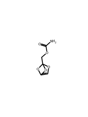 NC(=O)OCC12OC=C(O1)O2